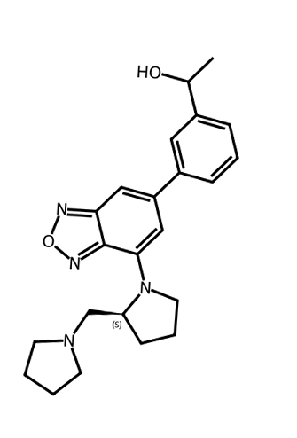 CC(O)c1cccc(-c2cc(N3CCC[C@H]3CN3CCCC3)c3nonc3c2)c1